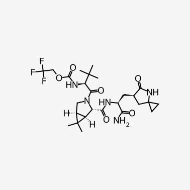 CC(C)(C)[C@H](NC(=O)OCC(F)(F)F)C(=O)N1C[C@H]2[C@@H]([C@H]1C(=O)N[C@@H](C[C@@H]1CC3(CC3)NC1=O)C(N)=O)C2(C)C